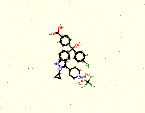 O=C(O)c1ccc(C(O)(c2ccc(Cl)cc2)c2ccc3nn(C4CC4)c(C4CCN(S(=O)(=O)C(F)(F)F)CC4)c3c2)cc1